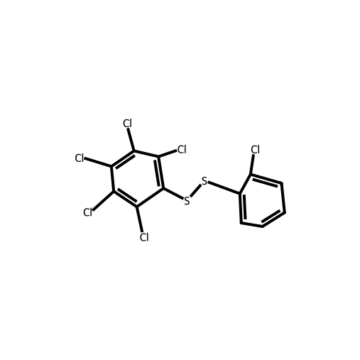 Clc1ccccc1SSc1c(Cl)c(Cl)c(Cl)c(Cl)c1Cl